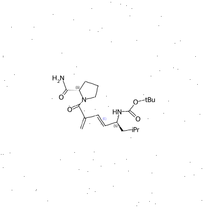 C=C(/C=C/[C@H](CC(C)C)NC(=O)OC(C)(C)C)C(=O)N1CCC[C@H]1C(N)=O